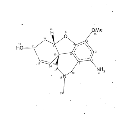 COc1cc(N)c2c3c1O[C@H]1C[C@@H](O)C=C[C@@]31CCN(C)C2